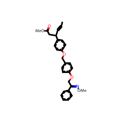 CC#CC(CC(=O)OC)c1ccc(OCc2ccc(OCC(=NOC)c3ccccc3)cc2)cc1